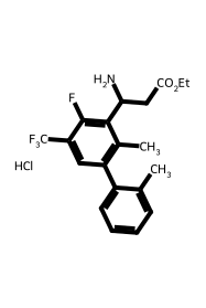 CCOC(=O)CC(N)c1c(C)c(-c2ccccc2C)cc(C(F)(F)F)c1F.Cl